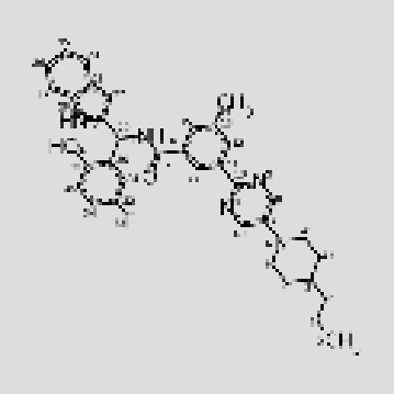 CCCC1CCN(c2cnc(-c3cc(C)cc(C(=O)NC(c4cc5ccccc5[nH]4)c4cc(F)ccc4O)c3)nc2)CC1